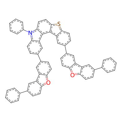 c1ccc(-c2ccc3oc4ccc(-c5ccc6sc7ccc8c(c9cc(-c%10ccc%11oc%12ccc(-c%13ccccc%13)cc%12c%11c%10)ccc9n8-c8ccccc8)c7c6c5)cc4c3c2)cc1